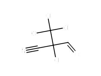 CC(Cl)(Cl)C(Cl)(C#N)C=O